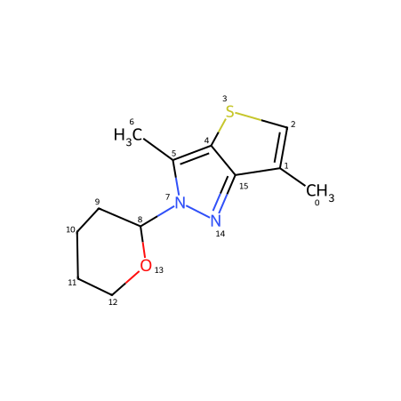 Cc1csc2c(C)n(C3CCCCO3)nc12